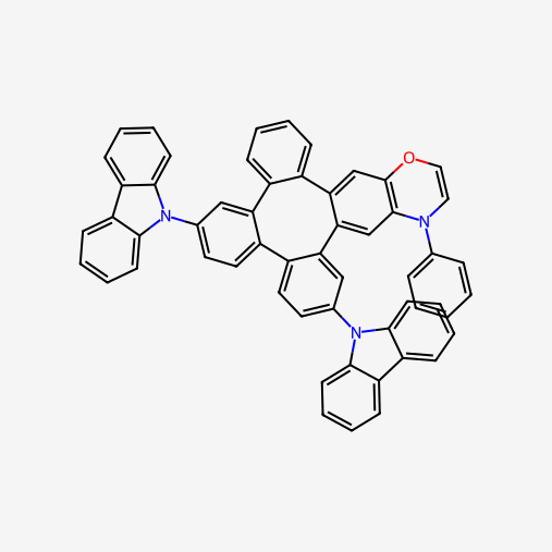 c1ccc(-n2ccoc3cc4c5ccccc5c5cc(-n6c7ccccc7c7ccccc76)ccc5c5ccc(-n6c7ccccc7c7ccccc76)cc5c4cc32)cc1